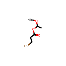 CCCCOC(C)OC(=O)CCS